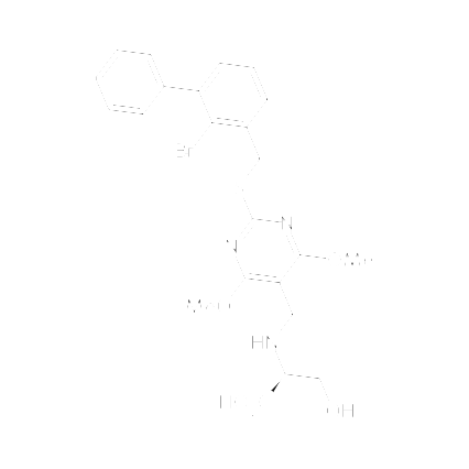 COc1nc(SCc2cccc(-c3ccccc3)c2Br)nc(OC)c1CN[C@@H](CO)C(=O)O